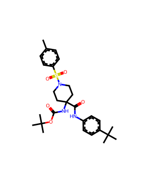 Cc1ccc(S(=O)(=O)N2CCC(NC(=O)OC(C)(C)C)(C(=O)Nc3ccc(C(C)(C)C)cc3)CC2)cc1